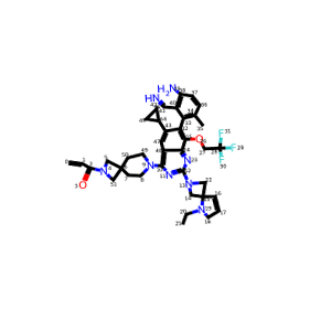 C=CC(=O)N1CC2(CCN(c3nc(N4CC5(C=CCN5CC)C4)nc4c(OCC(F)(F)F)c(-c5c(C)ccc(N)c5C=N)c(C5CC5)cc34)CC2)C1